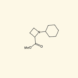 COC(=O)C1CCN1C1CCCCC1